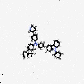 CC1(C)C2=CC(N(c3ccc(-c4cccnc4)cc3)c3ccc(-c4ccc5c(c4)c4ccccc4n5-c4ccccc4)cc3)CC=C2c2ccccc21